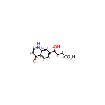 O=C(O)CCC(O)c1ccc2c(=O)cc[nH]c2c1